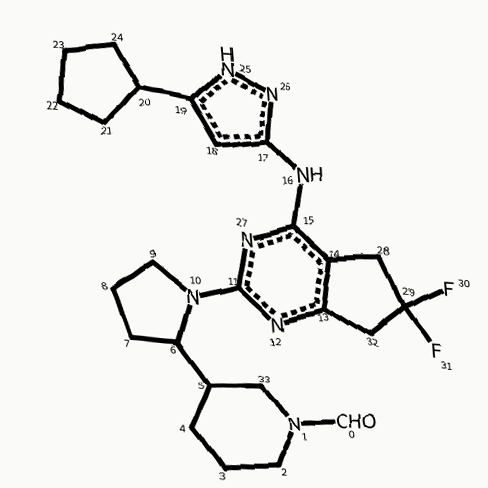 O=CN1CCCC(C2CCCN2c2nc3c(c(Nc4cc(C5CCCC5)[nH]n4)n2)CC(F)(F)C3)C1